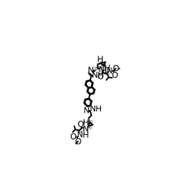 COC(=O)N[C@H](C(=O)N[C@@H]1C[C@@H]1CCc1nc2ccc(-c3ccc4cc(-c5cnc([C@@H]6C[C@H]7C[C@H]7N6C(=O)[C@@H](NC(=O)OC)C(C)C)[nH]5)ccc4c3)cc2[nH]1)C(C)C